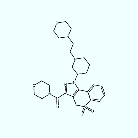 O=C(c1nn(C2CCCN(CCN3CCOCC3)C2)c2c1CS(=O)(=O)c1ccccc1-2)N1CCOCC1